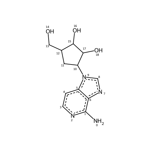 Nc1nccc2c1ncn2C1CC(CO)C(O)C1O